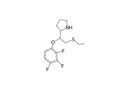 CCSCC(Oc1ccc(F)c(F)c1F)C1CCCN1